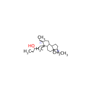 C=CC(O)CC[C@]1(C)/C(=C/C)CCC2C3CC/C(=C\C)[C@]3(C)CCC21